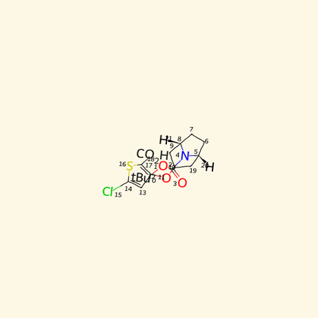 CC(C)(C)OC(=O)N1[C@@H]2CC[C@H]1CC(Oc1cc(Cl)sc1C(=O)O)C2